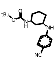 CC(C)(C)OC(=O)N[C@@H]1CCC[C@@H](Nc2ccc(C#N)cc2)C1